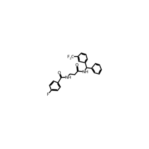 O=C(CCNC(=O)c1ccc(F)cc1)NC(c1ccccc1)c1cccc(C(F)(F)F)c1